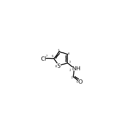 O=CNc1ccc(Cl)s1